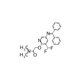 CN(C)C(=O)COc1ncc(N=C(c2ccccc2)c2ccccc2)cc1C(F)F